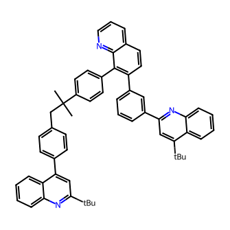 CC(C)(C)c1cc(-c2ccc(CC(C)(C)c3ccc(-c4c(-c5cccc(-c6cc(C(C)(C)C)c7ccccc7n6)c5)ccc5cccnc45)cc3)cc2)c2ccccc2n1